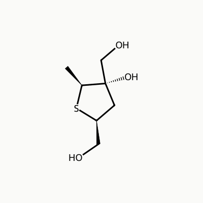 C[C@@H]1S[C@H](CO)C[C@]1(O)CO